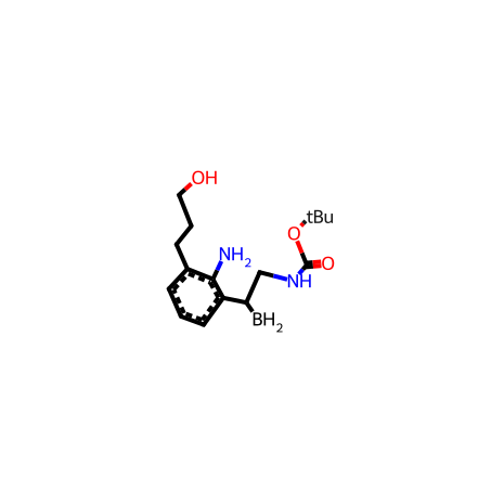 BC(CNC(=O)OC(C)(C)C)c1cccc(CCCO)c1N